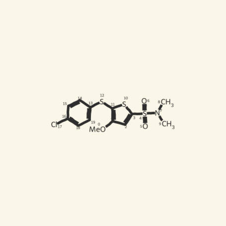 COc1cc(S(=O)(=O)N(C)C)sc1Sc1ccc(Cl)cc1